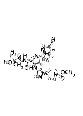 COC(=O)N1CCC(n2cc(Nc3cc(-c4ccc5cc(C#N)cnn45)ncc3C(=O)NC[C@@H](F)C(C)(C)O)cn2)CC1